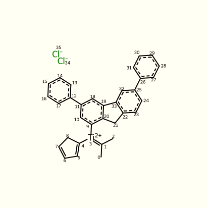 C[C](C)=[Ti+2]([C]1=CC=CC1)[c]1cc(-c2ccccc2)cc2c1Cc1ccc(-c3ccccc3)cc1-2.[Cl-].[Cl-]